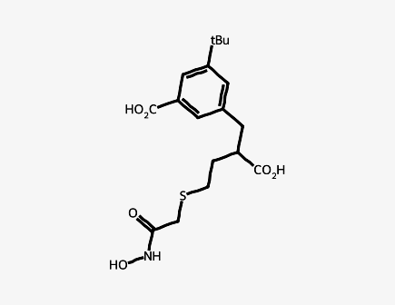 CC(C)(C)c1cc(CC(CCSCC(=O)NO)C(=O)O)cc(C(=O)O)c1